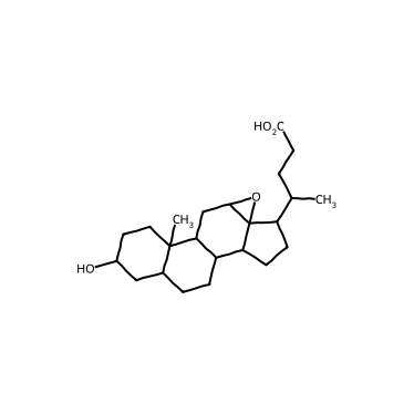 CC(CCC(=O)O)C1CCC2C3CCC4CC(O)CCC4(C)C3CC3OC312